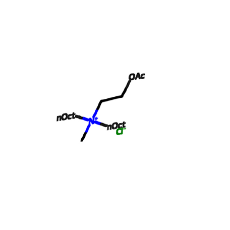 CCCCCCCC[N+](C)(CCCCCCCC)CCOC(C)=O.[Cl-]